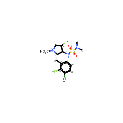 CN(C)S(=O)(=O)NC1C(F)CN(C(=O)O)[C@H]1Cc1cccc(Cl)c1F